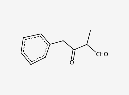 CC(C=O)C(=O)Cc1ccccc1